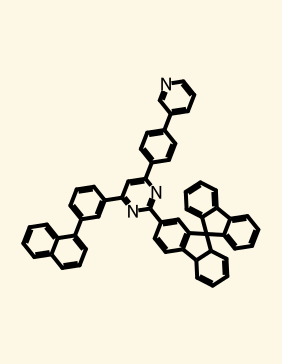 C1=CC2c3ccc(-c4nc(-c5ccc(-c6cccnc6)cc5)cc(-c5cccc(-c6cccc7ccccc67)c5)n4)cc3C3(c4ccccc4-c4ccccc43)C2C=C1